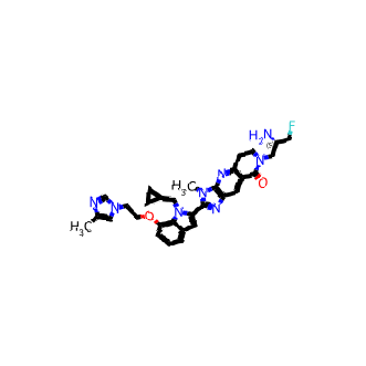 Cc1cn(CCOc2cccc3cc(-c4nc5cc6c(nc5n4C)CCN(C[C@H](N)CF)C6=O)n(CC4CC4)c23)cn1